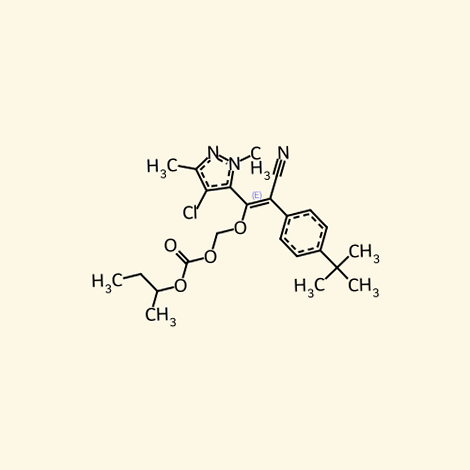 CCC(C)OC(=O)OCO/C(=C(/C#N)c1ccc(C(C)(C)C)cc1)c1c(Cl)c(C)nn1C